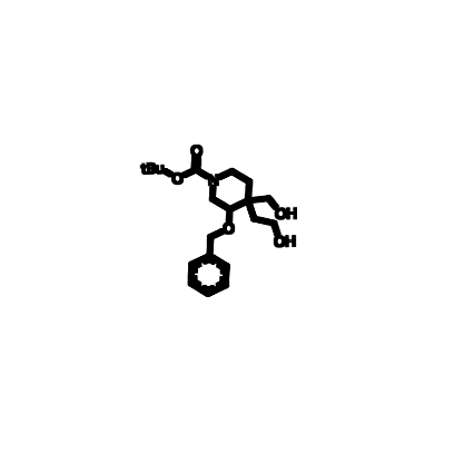 CC(C)(C)OC(=O)N1CCC(CO)(CCO)C(OCc2ccccc2)C1